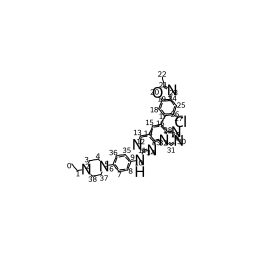 CCN1CCN(c2ccc(Nc3ncc4cc(-c5cc6oc(C)nc6cc5Cl)c5nncn5c4n3)cc2)CC1